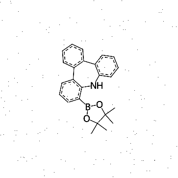 CC1(C)OB(c2cccc3c2Nc2ccccc2-c2ccccc2-3)OC1(C)C